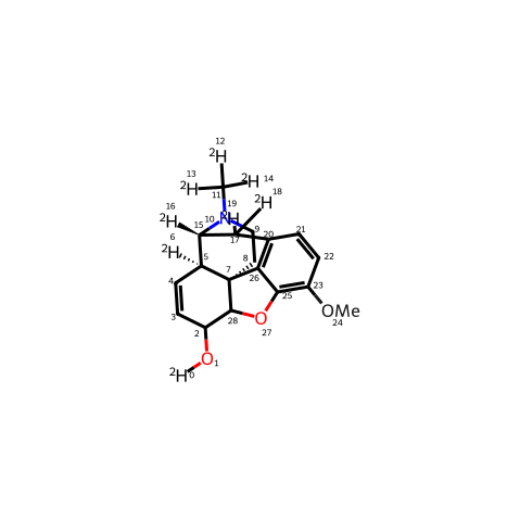 [2H]OC1C=C[C@]2([2H])[C@@]34CCN(C([2H])([2H])[2H])[C@]2([2H])C([2H])([2H])c2ccc(OC)c(c23)OC14